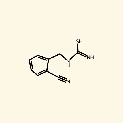 N#Cc1ccccc1CNC(=N)S